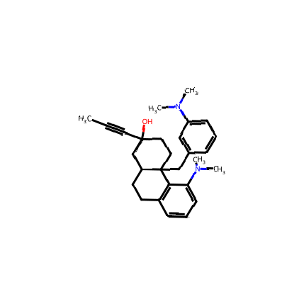 CC#CC1(O)CCC2(Cc3cccc(N(C)C)c3)c3c(c[c]cc3N(C)C)CCC2C1